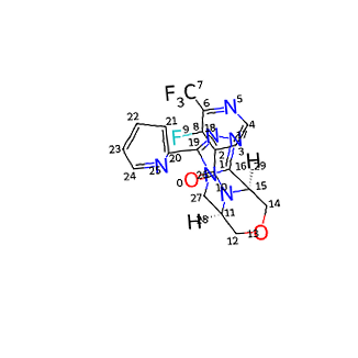 O=C(c1ccnc(C(F)(F)F)c1F)N1[C@H]2COC[C@@H]1c1nnc(-c3ccccn3)n1C2